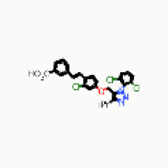 CC(C)c1nnn(-c2c(Cl)cccc2Cl)c1COc1ccc(/C=C/c2cccc(C(=O)O)c2)c(Cl)c1